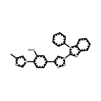 COc1cc(-c2cn(-c3nc4ccccc4n3-c3ccccc3)nn2)ccc1-n1cnc(C)c1